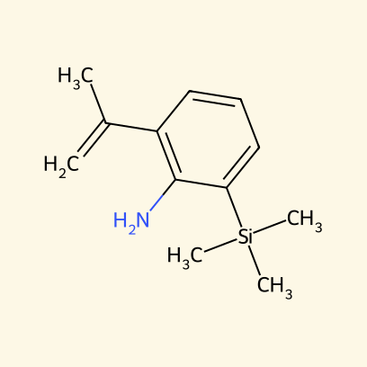 C=C(C)c1cccc([Si](C)(C)C)c1N